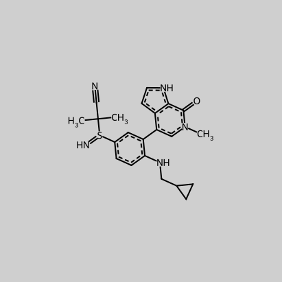 Cn1cc(-c2cc(S(=N)C(C)(C)C#N)ccc2NCC2CC2)c2cc[nH]c2c1=O